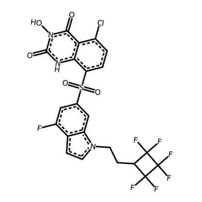 O=c1[nH]c2c(S(=O)(=O)c3cc(F)c4ccn(CCC5C(F)(F)C(F)(F)C5(F)F)c4c3)ccc(Cl)c2c(=O)n1O